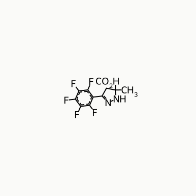 CC1(C(=O)O)CC(c2c(F)c(F)c(F)c(F)c2F)=NN1